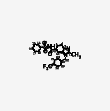 Cc1nc2ccc(C(=O)NS(=O)(=O)c3ccccc3)cc2n1Cc1ccc(C(F)(F)F)cc1